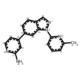 Cc1cccc(-n2ncc3ccc(-c4ccnc(N)c4)cc32)n1